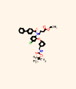 CCOC(=O)CCCN(C(=O)c1ccc(-c2ccccc2)cc1)c1ccc(Cl)cc1Oc1cccc(CNC(=O)OC(C)(C)C)c1